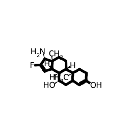 C[C@]12CC[C@H]3[C@@H]([C@@H](O)CC4C=C(O)CC[C@@]43C)[C@@H]1C=C(F)[C@@H]2N